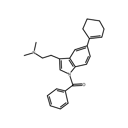 CN(C)CCc1cn(C(=O)c2ccccc2)c2ccc(C3=CCCCC3)cc12